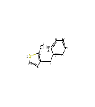 [CH2]c1sccc1Cc1ccccc1